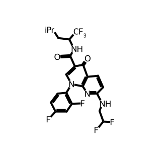 CC(C)CC(NC(=O)c1cn(-c2ccc(F)cc2F)c2nc(NCC(F)F)ccc2c1=O)C(F)(F)F